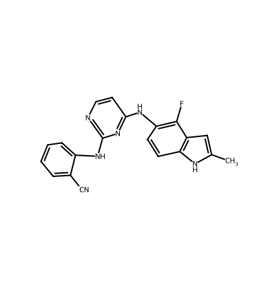 Cc1cc2c(F)c(Nc3ccnc(Nc4ccccc4C#N)n3)ccc2[nH]1